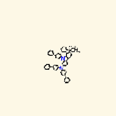 CC1(C)c2ccccc2-c2c1ccc1c3ccc(N(c4ccc(-c5ccccc5)cc4)c4ccc(-c5ccccc5)cc4)cc3n(-c3ccc(-c4ccccc4)cc3)c21